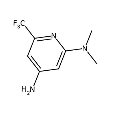 CN(C)c1cc(N)cc(C(F)(F)F)n1